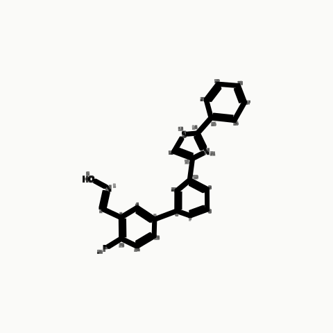 ON=Cc1cc(-c2cccc(-c3csc(-c4ccccc4)n3)c2)ccc1F